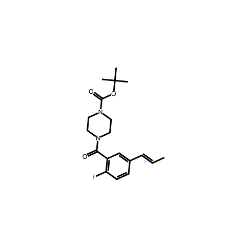 C/C=C/c1ccc(F)c(C(=O)N2CCN(C(=O)OC(C)(C)C)CC2)c1